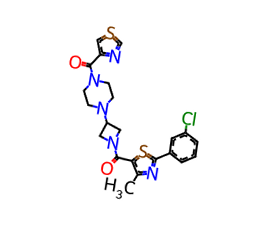 Cc1nc(-c2cccc(Cl)c2)sc1C(=O)N1CC(N2CCN(C(=O)c3cscn3)CC2)C1